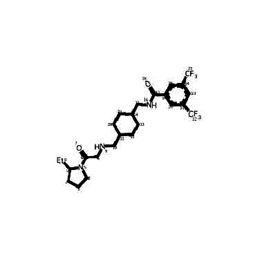 CCC1CCCN1C(=O)CNCC1CCC(CNC(=O)c2cc(C(F)(F)F)cc(C(F)(F)F)c2)CC1